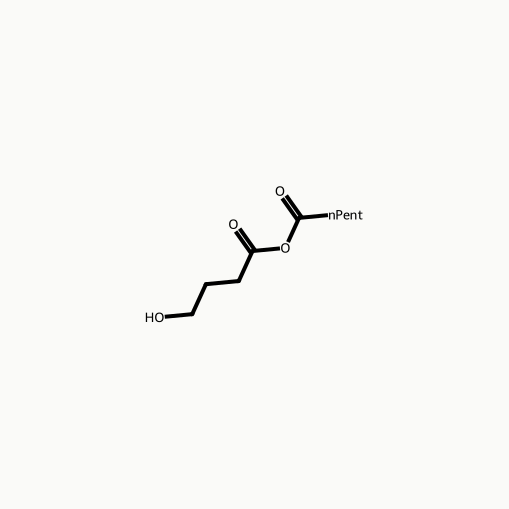 CCCCCC(=O)OC(=O)CCCO